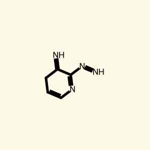 N=NC1=NC=CCC1=N